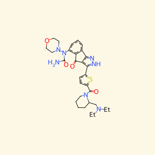 CCN(CC)CC1CCCCN1C(=O)c1ccc(-c2[nH]nc3c2C(=O)c2c-3cccc2N(C(N)=O)N2CCOCC2)s1